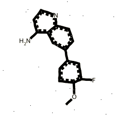 COc1ccc(-c2ccc3nccc(N)c3c2)cc1F